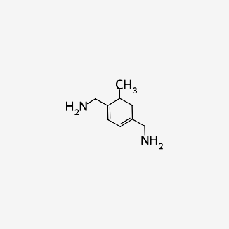 CC1CC(CN)=CC=C1CN